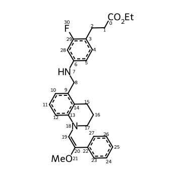 CCOC(=O)CCc1ccc(NCc2cccc3c2CCCN3C=C(OC)c2ccccc2)cc1F